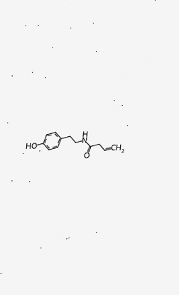 C=CCC(=O)NCCc1ccc(O)cc1